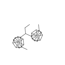 CCC([C]12[CH]3[CH]4[CH]5[C]1(C)[Fe]45321678[CH]2[CH]1[CH]6[CH]7[CH]28)[C]12[CH]3[CH]4[CH]5[C]1(C)[Fe]45321678[CH]2[CH]1[CH]6[CH]7[CH]28